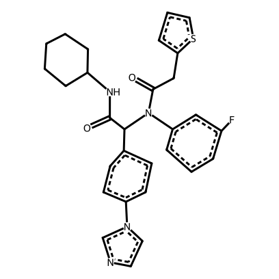 O=C(NC1CCCCC1)C(c1ccc(-n2ccnc2)cc1)N(C(=O)Cc1cccs1)c1cccc(F)c1